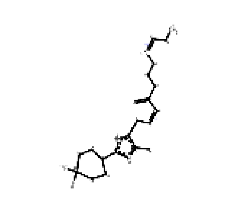 C=C(/C=C\Cc1[nH]c(C2CCC(F)(F)CC2)nc1C)CCC/N=C\CC(F)(F)F